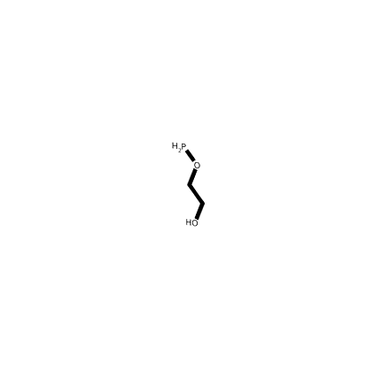 OCCOP